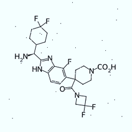 N[C@H](c1nc2c(F)c(C3(C(=O)N4CC(F)(F)C4)CCN(C(=O)O)CC3)ccc2[nH]1)C1CCC(F)(F)CC1